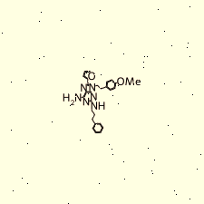 COc1ccc(CCn2c(-c3ccco3)nc3c(N)nc(NCCCc4ccccc4)nc32)cc1